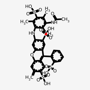 C=c1cc2c(cc1S(=O)(=O)O)=C(c1ccccc1S(=O)(=O)O)c1cc(S(=O)(=O)O)c(Nc3c(C)c(NC(C)=O)c(C)c(S(=O)(=O)O)c3C)cc1O2